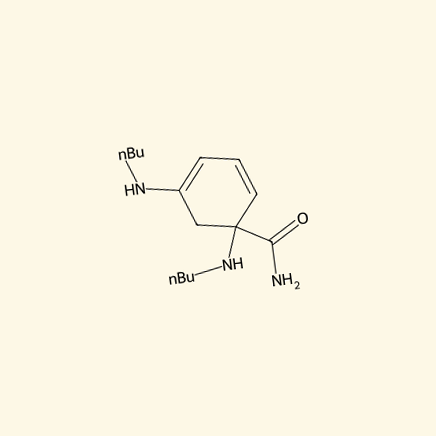 CCCCNC1=CC=CC(NCCCC)(C(N)=O)C1